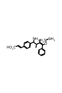 CC(=C(O[SiH2][SiH3])c1ccccc1)C(C)C(N)c1ccc(C=CC(=O)O)cc1